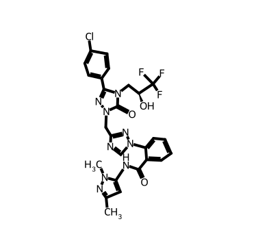 Cc1cc(NC(=O)c2ccccc2-n2cnc(Cn3nc(-c4ccc(Cl)cc4)n(C[C@H](O)C(F)(F)F)c3=O)n2)n(C)n1